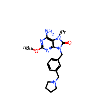 CCCCOc1nc(N)c2c(n1)n(Cc1cccc(CN3CCCC3)c1)c(=O)n2C(C)C